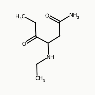 CCNC(CC(N)=O)C(=O)CC